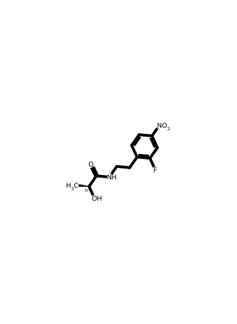 C[C@H](O)C(=O)NCCc1ccc([N+](=O)[O-])cc1F